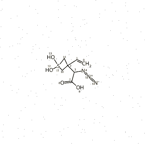 C=CC1(C(N=[N+]=[N-])C(=O)O)CS(O)(O)C1